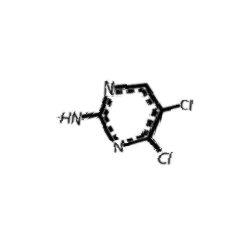 [NH]c1ncc(Cl)c(Cl)n1